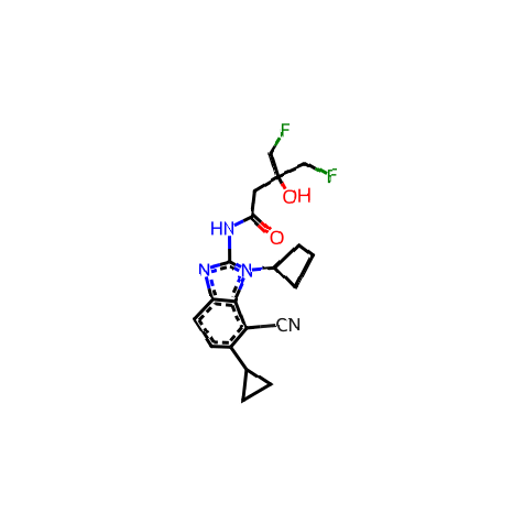 N#Cc1c(C2CC2)ccc2nc(NC(=O)CC(O)(CF)CF)n(C3CCC3)c12